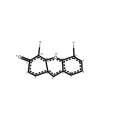 O=c1ccc2cc3cccc(I)c3oc-2c1I